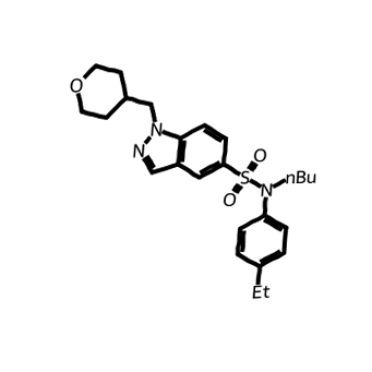 CCCCN(c1ccc(CC)cc1)S(=O)(=O)c1ccc2c(cnn2CC2CCOCC2)c1